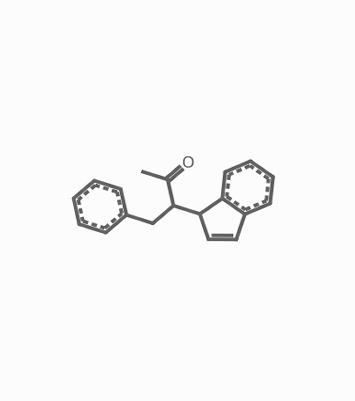 CC(=O)C(Cc1ccccc1)C1C=Cc2ccccc21